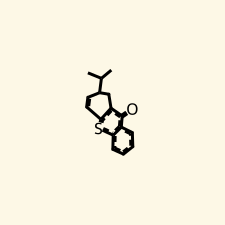 CC(C)C1C=Cc2sc3ccccc3c(=O)c2C1